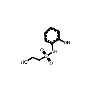 O=S(=O)(CCO)Nc1ccccc1O